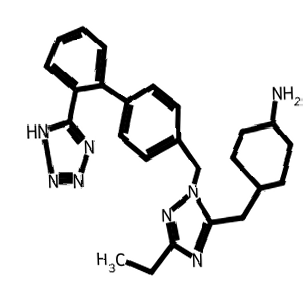 CCc1nc(CC2CCC(N)CC2)n(Cc2ccc(-c3ccccc3-c3nnn[nH]3)cc2)n1